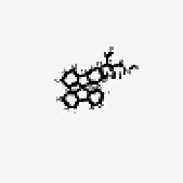 C=Cc1c(/C=N/C)[nH]c2cc3c(cc12)-c1ccccc1C31c2ccccc2-c2ccccc21